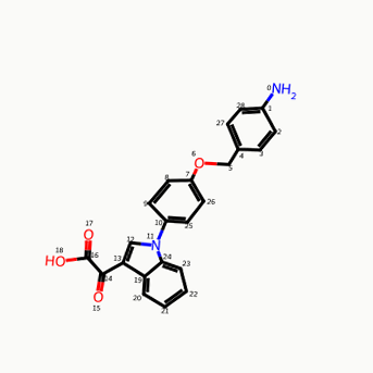 Nc1ccc(COc2ccc(-n3cc(C(=O)C(=O)O)c4ccccc43)cc2)cc1